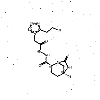 O=C(Cn1nnnc1CCO)NNC(=O)[C@@H]1CC[C@H]2CN1C(=O)N2